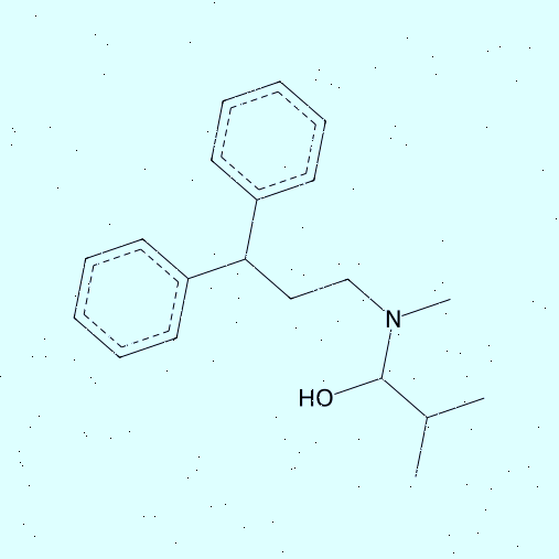 CC(C)C(O)N(C)CCC(c1ccccc1)c1ccccc1